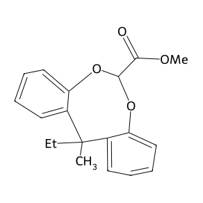 CCC1(C)c2ccccc2OC(C(=O)OC)Oc2ccccc21